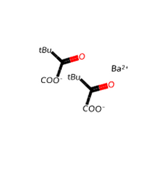 CC(C)(C)C(=O)C(=O)[O-].CC(C)(C)C(=O)C(=O)[O-].[Ba+2]